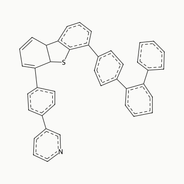 C1=CC2c3cccc(-c4ccc(-c5ccccc5-c5ccccc5)cc4)c3SC2C(c2ccc(-c3cccnc3)cc2)=C1